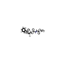 CC(C)OC(=O)/C=C/C(=O)OC[C@H](C)NC(=O)c1ccccc1